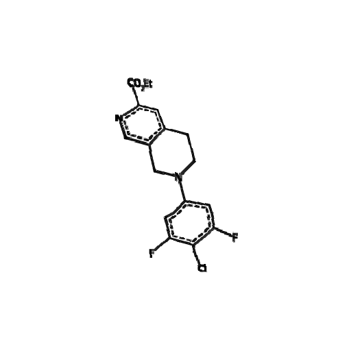 CCOC(=O)c1cc2c(cn1)CN(c1cc(F)c(Cl)c(F)c1)CC2